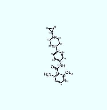 COc1nccc(N)c1C(=O)Nc1ccc(N2CCN(C3CC3)CC2)cc1